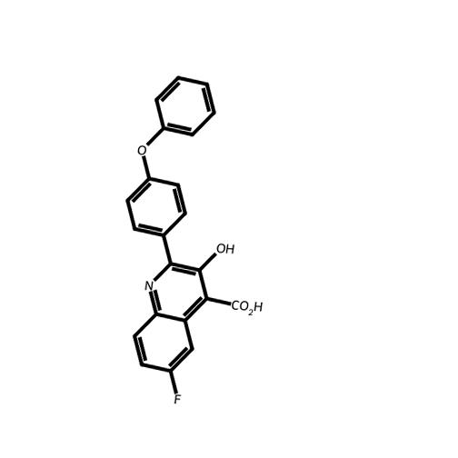 O=C(O)c1c(O)c(-c2ccc(Oc3ccccc3)cc2)nc2ccc(F)cc12